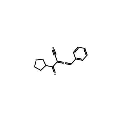 N#CC(=C=Cc1ccccc1)C(=O)C1CCOC1